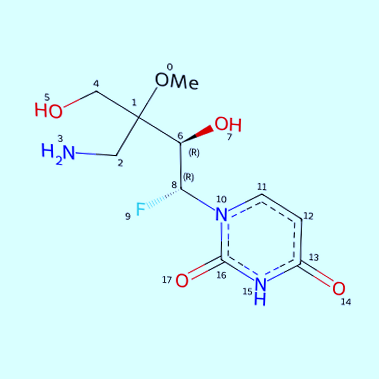 COC(CN)(CO)[C@@H](O)[C@@H](F)n1ccc(=O)[nH]c1=O